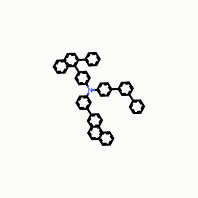 c1ccc(-c2cccc(-c3ccc(N(c4ccc(-c5c(-c6ccccc6)ccc6ccccc56)cc4)c4cccc(-c5ccc6c(ccc7ccccc76)c5)c4)cc3)c2)cc1